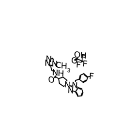 Cn1cnnc1CNC(=O)C1CCN(c2nc3ccccc3n2Cc2ccc(F)cc2)CC1.O=C(O)C(F)(F)F